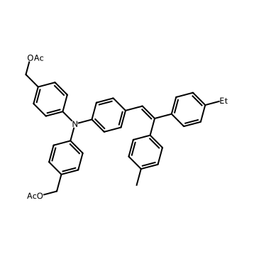 CCc1ccc(C(=Cc2ccc(N(c3ccc(COC(C)=O)cc3)c3ccc(COC(C)=O)cc3)cc2)c2ccc(C)cc2)cc1